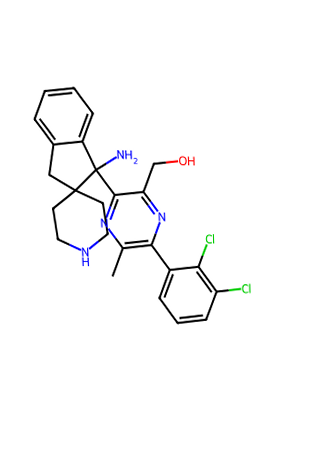 Cc1nc(C2(N)c3ccccc3CC23CCNCC3)c(CO)nc1-c1cccc(Cl)c1Cl